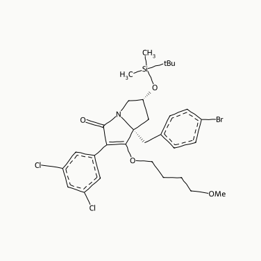 COCCCCOC1=C(c2cc(Cl)cc(Cl)c2)C(=O)N2C[C@H](O[Si](C)(C)C(C)(C)C)C[C@@]12Cc1ccc(Br)cc1